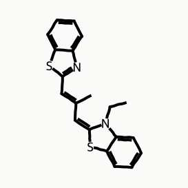 CCN1/C(=C\C(C)=C\c2nc3ccccc3s2)Sc2ccccc21